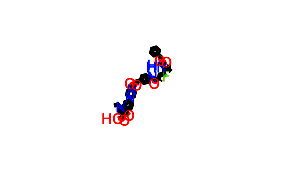 CCn1cc(C(=O)O)c(=O)c2ccc(N3CCN(C(=O)OCc4ccc(NC(=O)[C@H](C)/C=C(\F)[C@@H](NC(=O)OCc5ccccc5)C(C)C)cc4)CC3)cc21